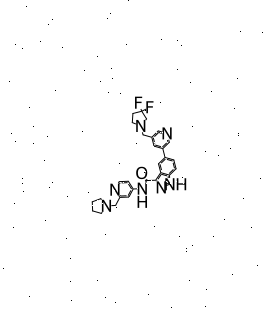 O=C(Nc1ccnc(CN2CCCC2)c1)c1n[nH]c2ccc(-c3cncc(CN4CCC(F)(F)C4)c3)cc12